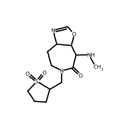 CNC1C(=O)N(CC2CCCS2(=O)=O)CCC2N=COC21